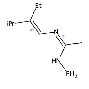 CC/C(=C\N=C(\C)NP)C(C)C